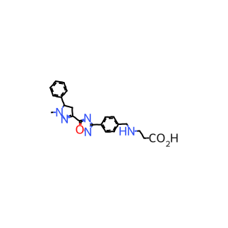 CN1N=C(c2nc(-c3ccc(CNCCC(=O)O)cc3)no2)CC1c1ccccc1